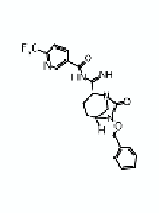 N=C(NC(=O)c1ccc(C(F)(F)F)nc1)[C@@H]1CC[C@@H]2CN1C(=O)N2OCc1ccccc1